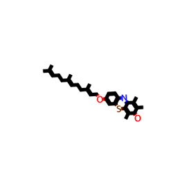 CC(C)=CCC/C(C)=C/CC/C(C)=C/COc1ccc2nc3c(C)c(C)c(=O)c(C)c-3sc2c1